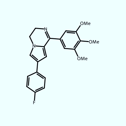 COc1cc(C2=NCCn3cc(-c4ccc(F)cc4)cc32)cc(OC)c1OC